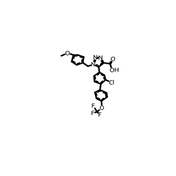 COc1ccc(Cn2nnc(C(=O)O)c2-c2ccc(-c3ccc(OC(F)(F)F)cc3)c(Cl)c2)cc1